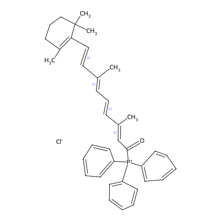 CC1=C(/C=C/C(C)=C/C=C/C(C)=C/C(=O)[P+](c2ccccc2)(c2ccccc2)c2ccccc2)C(C)(C)CCC1.[Cl-]